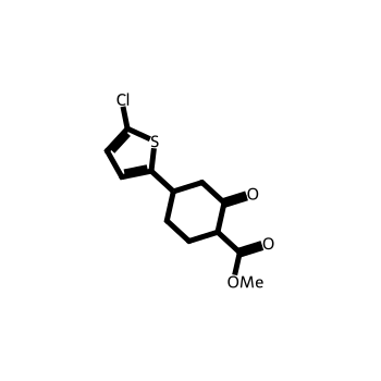 COC(=O)C1CCC(c2ccc(Cl)s2)CC1=O